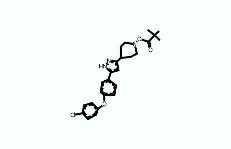 CC(C)(C)C(=O)ON1CCC(c2cc(-c3ccc(Oc4ccc(Cl)cc4)cc3)[nH]n2)CC1